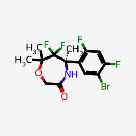 CC1(C)OCC(=O)N[C@](C)(c2cc(Br)c(F)cc2F)C1(F)F